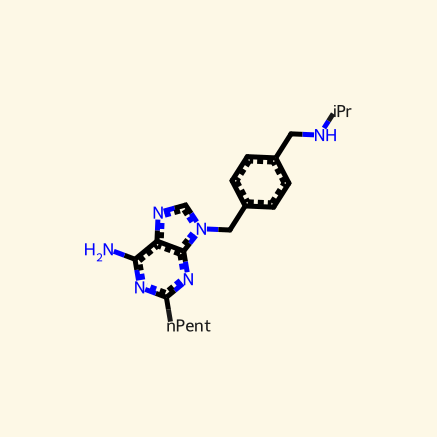 CCCCCc1nc(N)c2ncn(Cc3ccc(CNC(C)C)cc3)c2n1